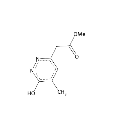 COC(=O)Cc1cc(C)c(O)nn1